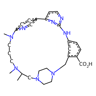 CC1CN2CCN(CC2)Cc2cc(ccc2C(=O)O)Nc2nccc(n2)-c2ccc(nc2)N(C)CCCN1C